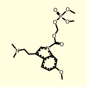 COc1ccc2c(CCN(C)C)cn(C(=O)OCOP(=O)(OC)OC)c2c1